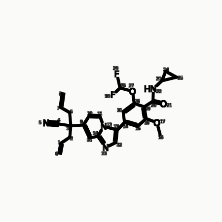 C=CCC(C#N)(CC=C)c1ccn2c(-c3cc(OC)c(C(=O)NC4CC4)c(OC(F)F)c3)cnc2c1